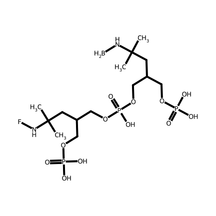 BNC(C)(C)CC(COP(=O)(O)O)COP(=O)(O)OCC(COP(=O)(O)O)CC(C)(C)NF